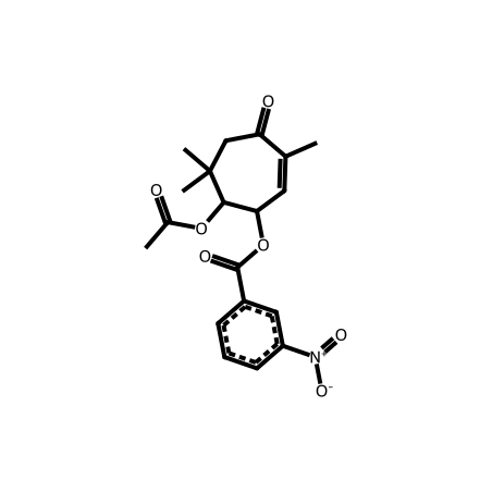 CC(=O)OC1C(OC(=O)c2cccc([N+](=O)[O-])c2)C=C(C)C(=O)CC1(C)C